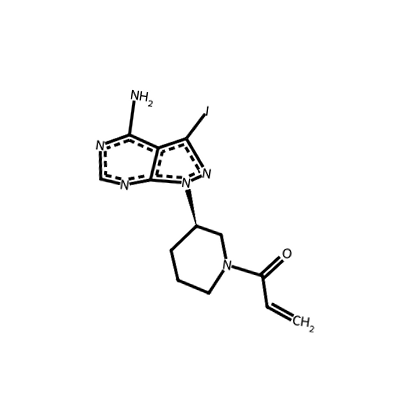 C=CC(=O)N1CCC[C@@H](n2nc(I)c3c(N)ncnc32)C1